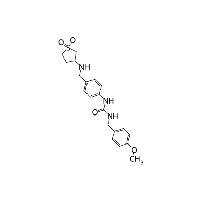 COc1ccc(CNC(=O)Nc2ccc(CNC3CCS(=O)(=O)C3)cc2)cc1